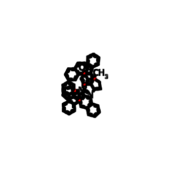 CC1C/C=C(c2cc3c(cc2-n2c4ccccc4c4cc5ccccc5cc42)oc2ccccc23)/N=C(c2cc3ccccc3c3ccccc23)\N=C/1c1cccc2ccccc12